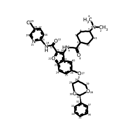 CN(C)C1CCC(C(=O)Nc2c(C(=O)Nc3ccc(Cl)cn3)oc3ccc(O[C@H]4CO[C@H](c5ccccc5)OC4)cc23)CC1